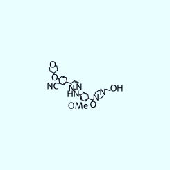 COc1cc(Nc2nccc(-c3ccc(OC4CCOCC4)c(C#N)c3)n2)ccc1C(=O)N1CCN(CCO)CC1